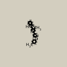 Cc1cc(-c2ccc(O[C@H]3CC[C@@H](C)CC3)nc2)ncc1-c1nc2ccccc2[nH]1